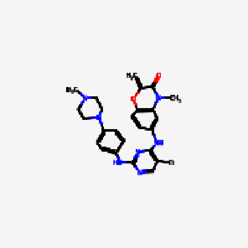 C=C1Oc2ccc(Nc3nc(Nc4ccc(N5CCN(C)CC5)cc4)ncc3CC)cc2N(C)C1=O